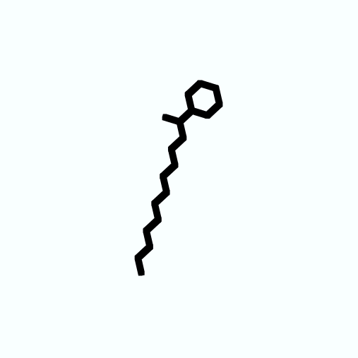 CCCCCCCCCCCC(C)C1CCCCC1